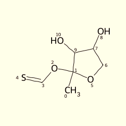 CC1(OC=S)OCC(O)C1O